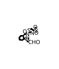 CS(=O)(=O)c1csc(NC(=O)c2ccccc2OCC=O)n1